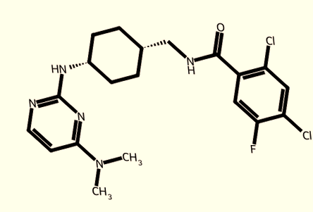 CN(C)c1ccnc(N[C@H]2CC[C@@H](CNC(=O)c3cc(F)c(Cl)cc3Cl)CC2)n1